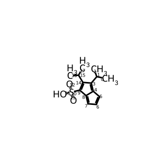 CC(C)C1=C2C=CC=C2C(S(=O)(=O)O)=C1C(C)C